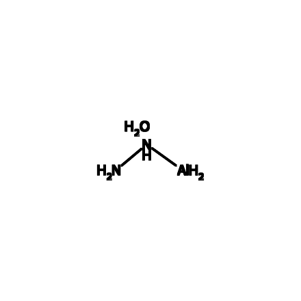 N[NH][AlH2].O